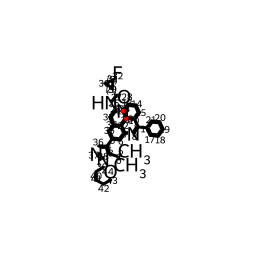 CC(C)c1c(-c2cc(N=C(c3ccccc3)c3ccccc3)c3cnc(NC(=O)[C@@H]4C[C@@H]4F)cc3c2)cnn1C1CCCCO1